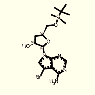 CC(C)(C)[Si](C)(C)OC[C@@H]1C[C@@H](O)[C@H](n2cc(Br)c3c(N)ncnc32)O1